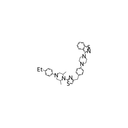 CCc1ccc(N2CC(C)N(c3nc(Cc4ccc(N5CCN(c6nsc7ccccc67)CC5)cc4)cs3)C(C)C2)cc1